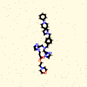 O=C(CCn1ccnc1CN(Cc1ccc(CN2CCC3(CCN(C4CCCCC4)CC3)C2)cc1)Cc1ncc[nH]1)OCCN1CCOCC1